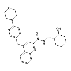 O=C(NC[C@H]1CCCC[C@@H]1O)c1cc(Cc2ccc(N3CCOCC3)nc2)c2ccccc2n1